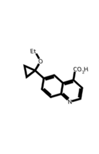 CCOC1(c2ccc3nccc(C(=O)O)c3c2)CC1